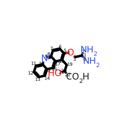 NC(N)COc1ccc2nc3ccccc3cc2c1CC(O)C(=O)O